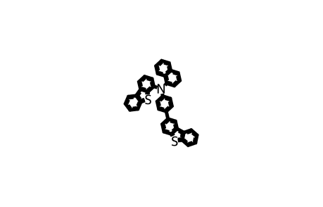 c1ccc2c(N(c3ccc(-c4ccc5sc6ccccc6c5c4)cc3)c3cccc4c3sc3ccccc34)cccc2c1